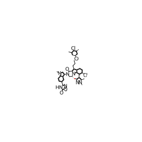 Cc1cc(OCCCc2c3n(c4c(-c5c(C)nn(C)c5C)c(Cl)ccc24)[C@H](C)CN(c2cn(C)c4ccc(-c5noc(=O)[nH]5)cc24)C3=O)cc(C)c1Cl